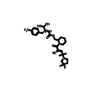 CC(C)(C=C(C#N)C(=O)N1CCCCC1COC(=O)N[C@@H](Cc1ccc(C(F)(F)F)cc1)B(O)O)N1CCC(F)(F)C1